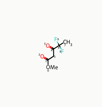 COC(=O)CC(=O)C(C)(F)F